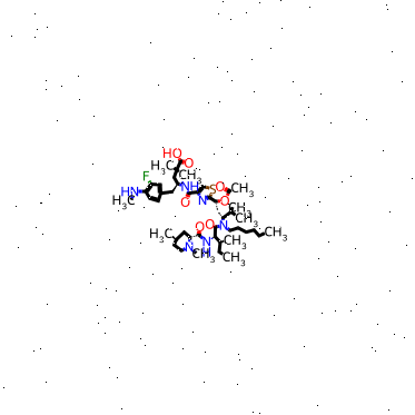 CCCCCCN(C(=O)[C@@H](NC(=O)[C@H]1C[C@H](C)CCN1C)[C@@H](C)CC)[C@H](C[C@@H](OC(C)=O)c1nc(C(=O)N[C@@H](Cc2ccc(NC)c(F)c2)CC(C)(C)C(=O)O)cs1)C(C)C